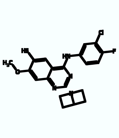 C1CN2CCC12.COc1cc2ncnc(Nc3ccc(F)c(Cl)c3)c2cc1S